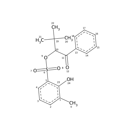 Cc1cccc(S(=O)(=O)OC(C(=O)c2ccccc2)C(C)(C)C)c1O